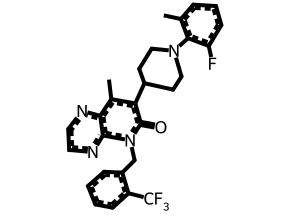 Cc1cccc(F)c1N1CCC(c2c(C)c3nccnc3n(Cc3ccccc3C(F)(F)F)c2=O)CC1